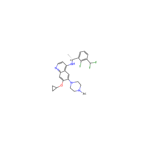 CC(=O)N1CCN(c2cc3c(N[C@H](C)c4cccc(C(F)F)c4F)ccnc3cc2OC2CC2)CC1